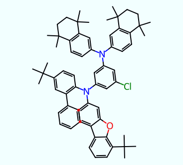 CC(C)(C)c1ccc(N(c2cc(Cl)cc(N(c3ccc4c(c3)C(C)(C)CCC4(C)C)c3ccc4c(c3)C(C)(C)CCC4(C)C)c2)c2ccc3c(c2)oc2c(C(C)(C)C)cccc23)c(-c2ccccc2)c1